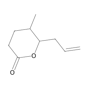 C=CCC1OC(=O)CCC1C